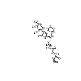 CC(C)Cc1sc(N(CCS(=O)(=O)NC(=O)CNC(=O)OC(C)(C)C)Cc2ccccc2)nc1-c1ccc(Cl)c(Cl)c1